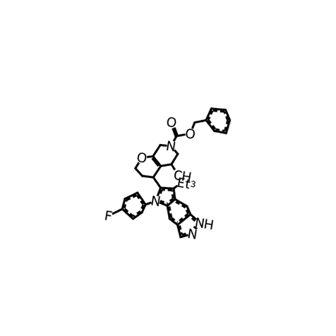 CCc1c(C2CCOC3=C2C(C)CN(C(=O)OCc2ccccc2)C3)n(-c2ccc(F)cc2)c2cc3cn[nH]c3cc12